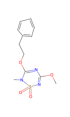 COC1=NS(=O)(=O)N(C)C(OCCc2ccccc2)=N1